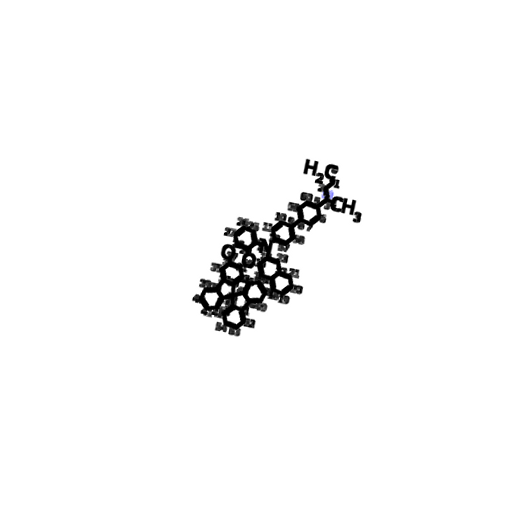 C=C/C=C(\C)c1ccc(-c2ccc(N(c3ccc4ccccc4c3)c3cccc4c3Oc3cc5c(cc3O4)-c3ccccc3C53c4ccccc4-c4ccccc43)cc2)cc1